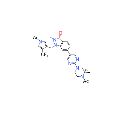 CC(=O)N1CCN(c2ncc(-c3ccc4c(=O)n(C)n(Cc5cn(C(C)=O)cc5C(F)(F)F)c4c3)cn2)C[C@H]1C